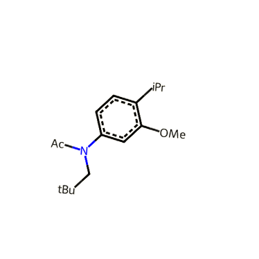 COc1cc(N(CC(C)(C)C)C(C)=O)ccc1C(C)C